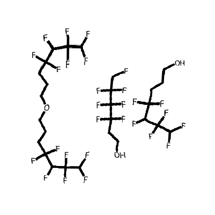 FC(F)C(F)(F)C(F)C(F)(F)CCCOCCCC(F)(F)C(F)C(F)(F)C(F)F.OCCC(F)(F)C(F)(F)C(F)(F)CF.OCCCC(F)(F)C(F)C(F)(F)C(F)F